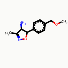 COCc1ccc(C2ON=C(C)C2N)cc1